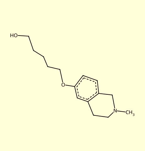 CN1CCc2cc(OCCCCCO)ccc2C1